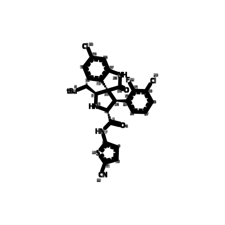 CC(C)(C)C[C@@H]1N[C@@H](C(=O)Nc2ccc(C#N)s2)[C@H](c2cccc(Cl)c2F)[C@]12C(=O)Nc1cc(Cl)ccc12